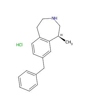 C[C@@H]1CNCCc2ccc(Cc3ccccc3)cc21.Cl